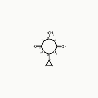 CN1CC(=O)OB(C2CC2)OC(=O)C1